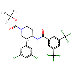 CC(C)(C)OC(=O)N1CCC(NC(=O)c2cc(C(F)(F)F)cc(C(F)(F)F)c2)[C@H](c2cc(Cl)cc(Cl)c2)C1